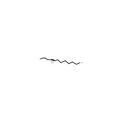 [CH2]CCCCCC/C=C/C[CH]C